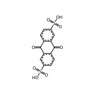 O=C1c2[c]c(S(=O)(=O)O)ccc2C(=O)c2cc(S(=O)(=O)O)ccc21